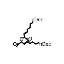 CCCCCCCCCCCCCCC=CC(OC(C=CCCCCCCCCCCCCCC)C1CO1)C1CO1